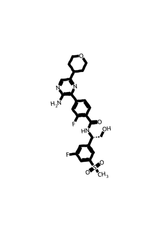 CS(=O)(=O)c1cc(F)cc([C@@H](CO)NC(=O)c2ccc(-c3nc(C4CCOCC4)cnc3N)cc2F)c1